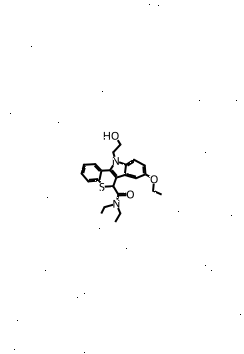 CCOc1ccc2c(c1)c1c(n2CCO)-c2ccccc2SC1C(=O)N(CC)CC